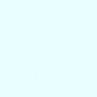 Cc1noc(C)c1COc1ccc(C(C(=O)NO)c2ccccc2)cc1